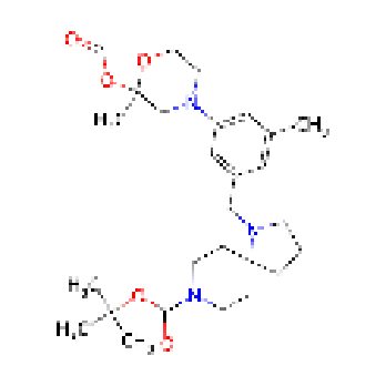 Cc1cc(CN2CCCC23CCN(C(=O)OC(C)(C)C)CC3)cc(N2CCOC(C)(OC=O)C2)c1